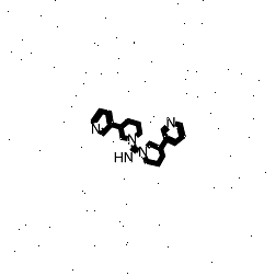 N=C(N1CCCC(c2cccnc2)C1)N1CCCC(c2cccnc2)C1